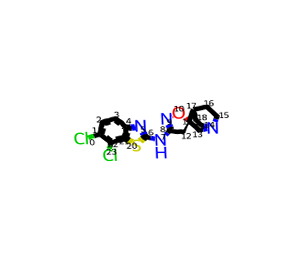 Clc1ccc2nc(NC3=NO[C@@]4(C3)CN3CCC4CC3)sc2c1Cl